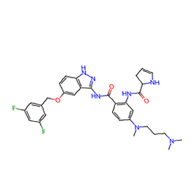 CN(C)CCCN(C)c1ccc(C(=O)Nc2n[nH]c3ccc(OCc4cc(F)cc(F)c4)cc23)c(NC(=O)C2CC=CN2)c1